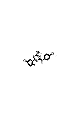 Cc1ccc(Nc2nc(N)nc(-c3cc(Cl)ccc3F)n2)cc1